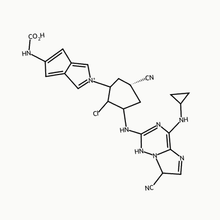 N#CC1C=NC2=C(NC3CC3)N=C(NC3C[C@@H](C#N)CC([N+]4=CC5=CC(NC(=O)O)=CC5=C4)C3Cl)NN21